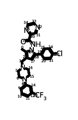 Cc1c(CN2CCN(c3cccc(C(F)(F)F)c3)CC2)cc(-c2ccc(Cl)cc2)n1NC(=O)c1cnccn1